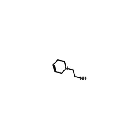 [NH]CCN1CC=CCC1